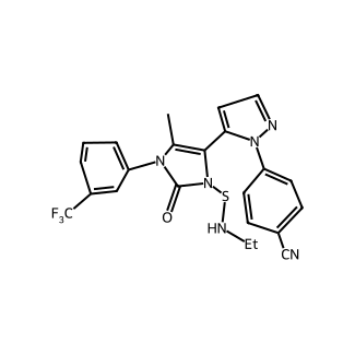 CCNSn1c(-c2ccnn2-c2ccc(C#N)cc2)c(C)n(-c2cccc(C(F)(F)F)c2)c1=O